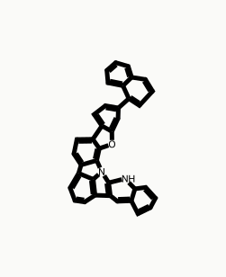 C1=CC2=Cc3c(n4c5c3cccc5c3ccc5c6ccc(-c7cccc8ccccc78)cc6oc5c34)NC2C=C1